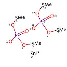 CSOP(=O)([O-])OSC.CSOP(=O)([O-])OSC.[Zn+2]